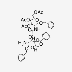 CC(=O)OC[C@H]1O[C@H](OCc2ccccc2)[C@@H](NC(=O)CO[C@@H]2[C@@H](N)[C@@H](OCc3ccccc3)O[C@@H]3COC(c4ccccc4)O[C@@H]23)[C@@H](OC(C)=O)[C@@H]1OC(C)=O